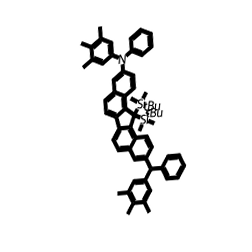 Cc1cc(C(c2ccccc2)c2ccc3c4c(ccc3c2)-c2ccc3cc(N(c5ccccc5)c5cc(C)c(C)c(C)c5)ccc3c2C4([Si](C)(C)C(C)(C)C)[Si](C)(C)C(C)(C)C)cc(C)c1C